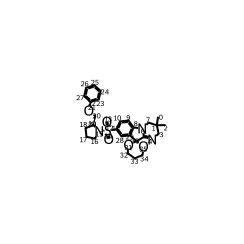 CC1(C)CN=C2N(C1)c1ccc(S(=O)(=O)N3CCC[C@H]3COc3ccccc3)cc1C21OCCCO1